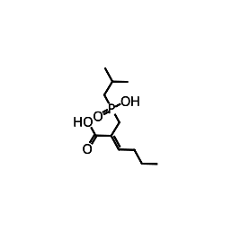 CCCC=C(CP(=O)(O)CC(C)C)C(=O)O